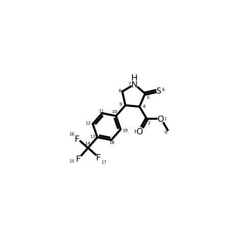 COC(=O)C1C(=S)NCC1c1ccc(C(F)(F)F)cc1